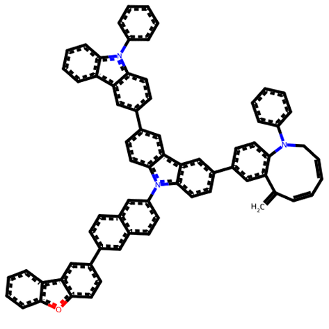 C=C1/C=C\C=C/CN(c2ccccc2)c2ccc(-c3ccc4c(c3)c3cc(-c5ccc6c(c5)c5ccccc5n6-c5ccccc5)ccc3n4-c3ccc4cc(-c5ccc6oc7ccccc7c6c5)ccc4c3)cc21